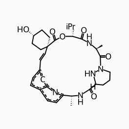 CC(C)[C@H]1OC(=O)[C@]2(/C=C/c3ccc4ccc(nc4c3)[C@@H](C)NC(=O)[C@@H]3CCCN(N3)C(=O)[C@H](C)NC1=O)CC[C@@H](O)CC2